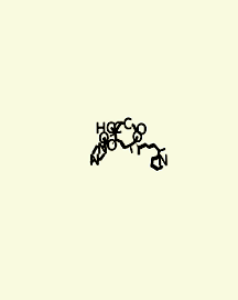 C/C(=C\C=C\[C@@H](C)c1ccccn1)[C@H]1OC(=O)CCCC[C@@](C)(O)[C@@H](OC(=O)N2CCN(C)CC2)/C=C/[C@@H]1C